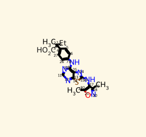 CCC(C)(C(=O)O)c1ccc(Nc2ncnc3sc(Nc4c(C)noc4C)nc23)cc1